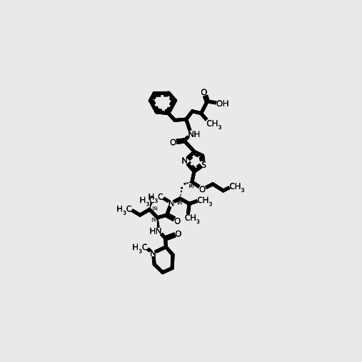 CCCO[C@H](C[C@H](C(C)C)N(C)C(=O)[C@@H](NC(=O)C1CCCCN1C)[C@@H](C)CC)c1nc(C(=O)NC(Cc2ccccc2)CC(C)C(=O)O)cs1